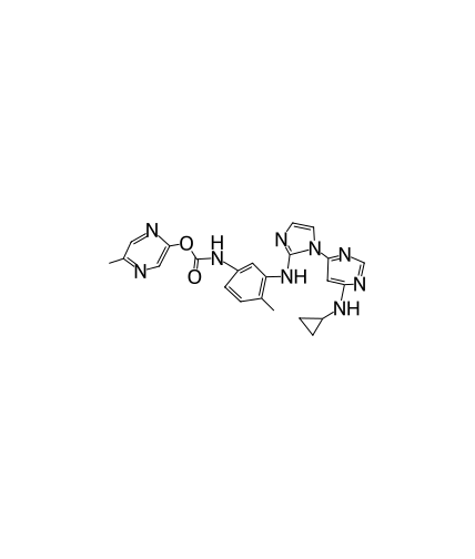 Cc1cnc(OC(=O)Nc2ccc(C)c(Nc3nccn3-c3cc(NC4CC4)ncn3)c2)cn1